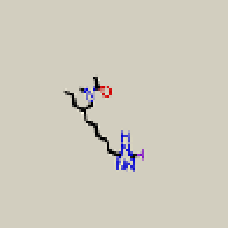 CCCC(CCCCCc1nnc(I)[nH]1)CN(C)C(C)=O